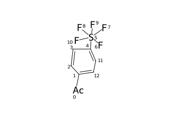 CC(=O)c1ccc(S(F)(F)(F)(F)F)cc1